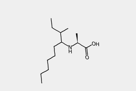 CCCCCCC(N[C@@H](C)C(=O)O)C(C)CC